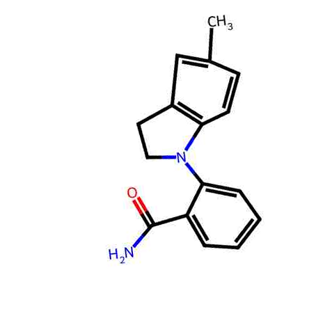 Cc1ccc2c(c1)CCN2c1ccccc1C(N)=O